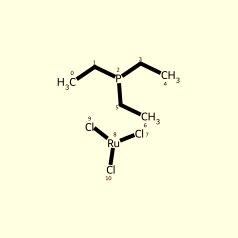 CCP(CC)CC.[Cl][Ru]([Cl])[Cl]